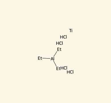 C[CH2][Al]([CH2]C)[CH2]C.Cl.Cl.Cl.Cl.[Ti]